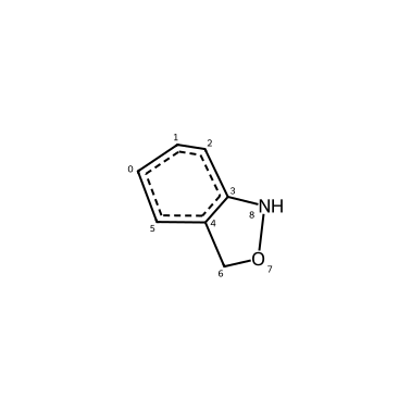 c1ccc2c(c1)CON2